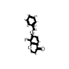 O=C1CCOc2c1ccc(OCc1ccccc1)c2F